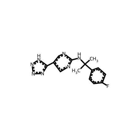 CC(C)(Nc1ncc(-c2nnn[nH]2)cn1)c1ccc(F)cc1